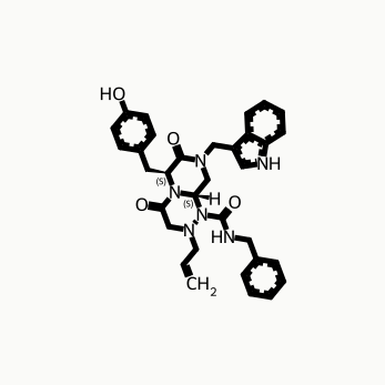 C=CCN1CC(=O)N2[C@@H](Cc3ccc(O)cc3)C(=O)N(Cc3c[nH]c4ccccc34)C[C@@H]2N1C(=O)NCc1ccccc1